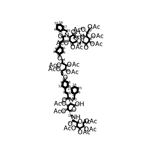 CC(=O)OC[C@@H](OC(C)=O)[C@@H](OC(C)=O)[C@H](OC(C)=O)[C@@H](OC(C)=O)C(=O)NC[C@H]1O[C@H](O)[C@@H](N(Cc2ccccc2)C(=O)/C=C/c2ccc(OC[C@H](OC(C)=O)[C@@H](OC(C)=O)[C@@H](OC(C)=O)[C@@H](COc3ccc(/C=C/C(=O)N(Cc4ccccc4)[C@H]4[C@@H](OC(C)=O)[C@H](OC(C)=O)[C@@H](CNC(=O)[C@H](OC(C)=O)[C@@H](OC(C)=O)[C@H](OC(C)=O)[C@@H](COC(C)=O)OC(C)=O)O[C@@H]4O)cc3)OC(C)=O)cc2)[C@@H](OC(C)=O)[C@@H]1OC(C)=O